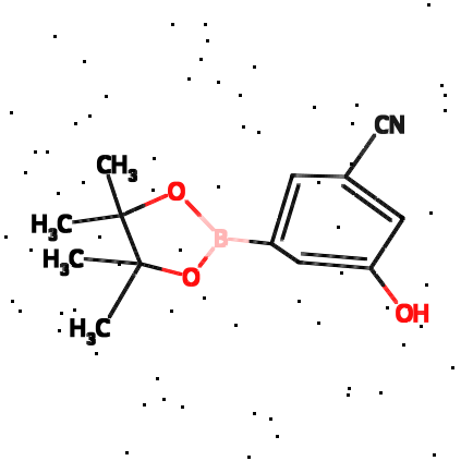 CC1(C)OB(c2cc(O)cc(C#N)c2)OC1(C)C